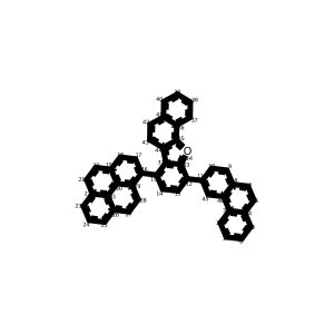 c1ccc2c(c1)ccc1ccc(-c3ccc(-c4ccc5ccc6cccc7ccc4c5c67)c4c3oc3c5ccccc5ccc34)cc12